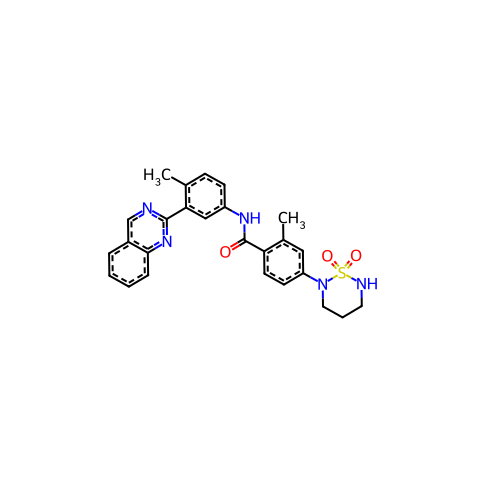 Cc1cc(N2CCCNS2(=O)=O)ccc1C(=O)Nc1ccc(C)c(-c2ncc3ccccc3n2)c1